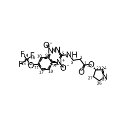 O=C(CCNc1n[n+]([O-])c2cc(OC(F)(F)F)ccc2[n+]1[O-])O[C@H]1C=NCC1